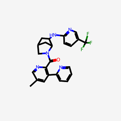 Cc1cnc(C(=O)N2CC3CC(Nc4ccc(C(F)(F)F)cn4)C2C3)c(-c2ccccn2)c1